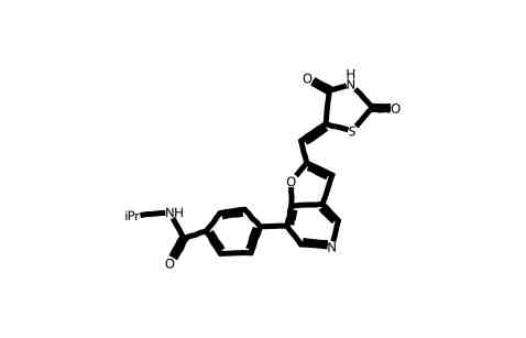 CC(C)NC(=O)c1ccc(-c2cncc3cc(/C=C4\SC(=O)NC4=O)oc23)cc1